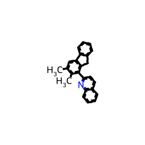 Cc1cc2c(c(-c3ccc4ccccc4n3)c1C)Cc1ccccc1-2